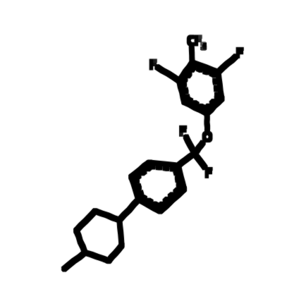 CC1CCC(c2ccc(C(F)(F)Oc3cc(F)c(C(F)(F)F)c(F)c3)cc2)CC1